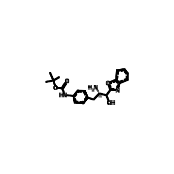 CC(C)(C)OC(=O)Nc1ccc(C[C@H](N)C(O)c2nc3ccccc3o2)cc1